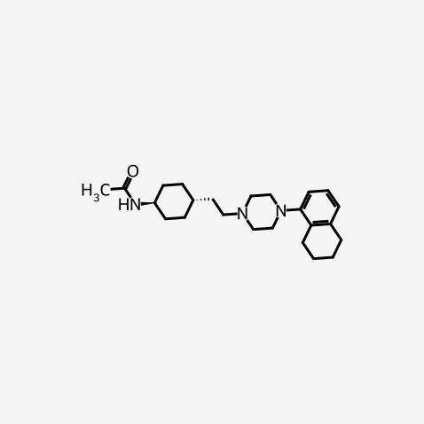 CC(=O)N[C@H]1CC[C@H](CCN2CCN(c3cccc4c3CCCC4)CC2)CC1